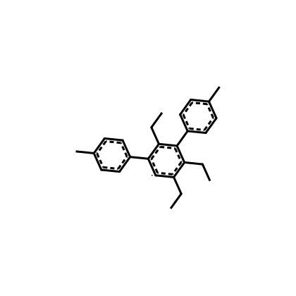 CCc1[c]c(-c2ccc(C)cc2)c(CC)c(-c2ccc(C)cc2)c1CC